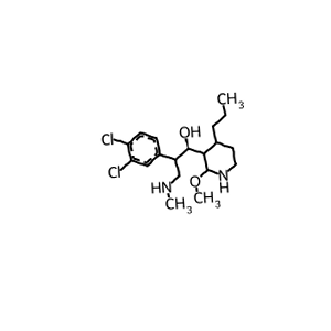 CCCC1CCNC(OC)C1[C@H](O)C(CNC)c1ccc(Cl)c(Cl)c1